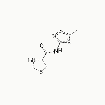 Cc1cnc(NC(=O)C2CSCN2)s1